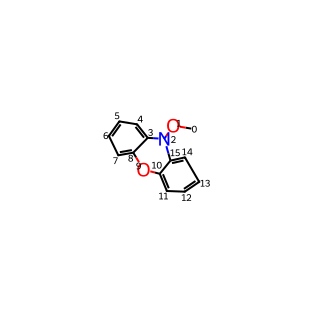 CON1c2ccccc2Oc2ccccc21